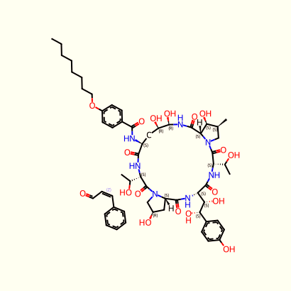 CCCCCCCCOc1ccc(C(=O)N[C@H]2C[C@@H](O)[C@@H](O)NC(=O)[C@@H]3[C@@H](O)[C@@H](C)CN3C(=O)[C@H](C(C)O)NC(=O)[C@H]([C@H](O)[C@@H](O)c3ccc(O)cc3)NC(=O)[C@@H]3C[C@@H](O)CN3C(=O)[C@H](C(C)O)NC2=O)cc1.O=C/C=C\c1ccccc1